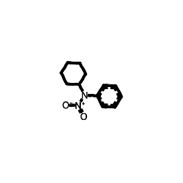 O=[N+]([O-])N(c1ccccc1)C1CCCCC1